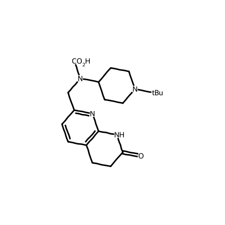 CC(C)(C)N1CCC(N(Cc2ccc3c(n2)NC(=O)CC3)C(=O)O)CC1